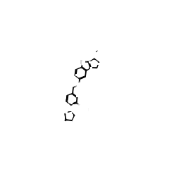 O=C(O)C[C@@H]1CCc2c1[nH]c1ccc(OCc3ccc([C@@H]4CCC(=O)C4)c(C(F)(F)F)c3)cc21